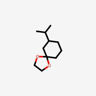 CC(C)C1CCCC2(C1)OCCO2